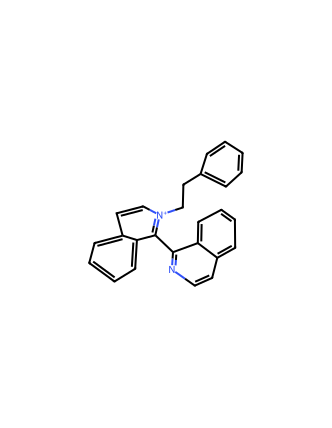 c1ccc(CC[n+]2ccc3ccccc3c2-c2nccc3ccccc23)cc1